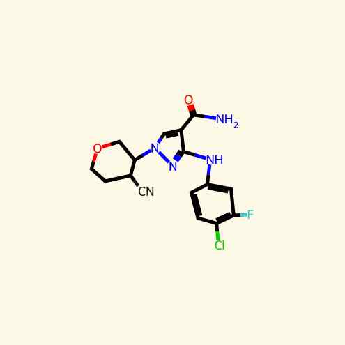 N#CC1CCOCC1n1cc(C(N)=O)c(Nc2ccc(Cl)c(F)c2)n1